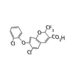 O=C(O)C1=Cc2cc(Cl)c(Oc3ccccc3Cl)cc2OC1C(F)(F)F